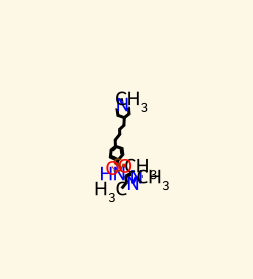 Cc1nn(C)c(C)c1NS(=O)(=O)c1ccc(CCCCC2CCN(C)CC2)cc1